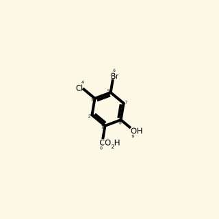 O=C(O)c1cc(Cl)c(Br)cc1O